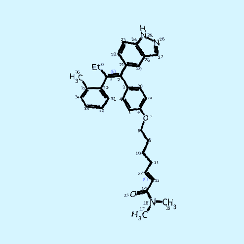 CC/C(=C(/c1ccc(OCCCC/C=C/C(=O)N(C)C)cc1)c1ccc2[nH]ncc2c1)c1ccccc1C